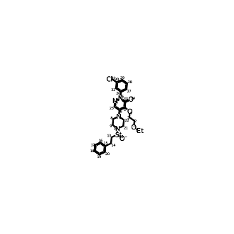 CCOCCOc1c(N2CCN([S+]([O-])CCc3ccccc3)CC2)cnn(-c2cccc(Cl)c2)c1=O